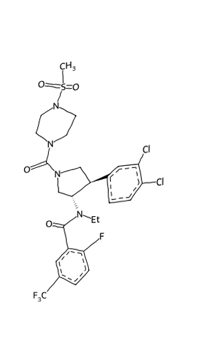 CCN(C(=O)c1cc(C(F)(F)F)ccc1F)[C@@H]1CN(C(=O)N2CCN(S(C)(=O)=O)CC2)C[C@H]1c1ccc(Cl)c(Cl)c1